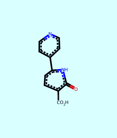 O=C(O)c1ccc(-c2ccncc2)[nH]c1=O